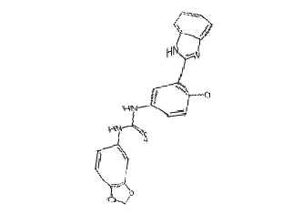 S=C(Nc1ccc2c(c1)OCO2)Nc1ccc(Cl)c(-c2nc3ccccc3[nH]2)c1